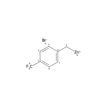 FC(F)(F)c1ccc([CH2][Zn+])cc1.[Br-]